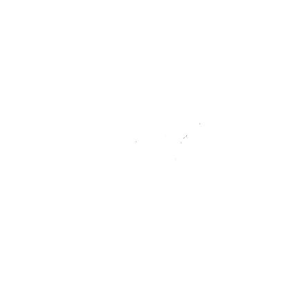 CC(c1ccc(Cl)cc1)N1[C@@H]2CC[C@H]1C[C@@H](NC(=O)CNC(=O)c1cccc(Cl)c1)C2